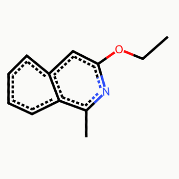 CCOc1cc2ccccc2c(C)n1